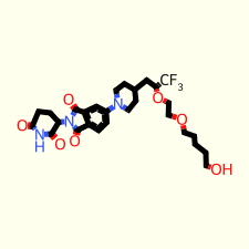 O=C1CCC(N2C(=O)c3ccc(N4CCC(CC(OCCOCCCCCO)C(F)(F)F)CC4)cc3C2=O)C(=O)N1